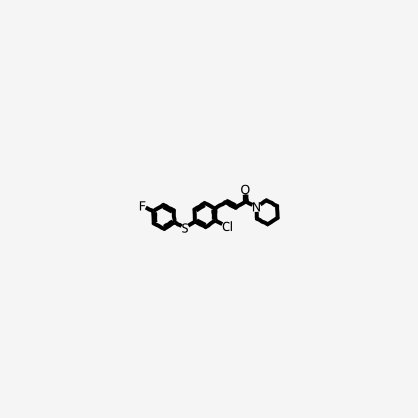 O=C(C=Cc1ccc(Sc2ccc(F)cc2)cc1Cl)N1CCCCC1